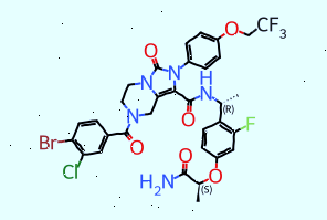 C[C@H](Oc1ccc([C@@H](C)NC(=O)c2c3n(c(=O)n2-c2ccc(OCC(F)(F)F)cc2)CCN(C(=O)c2ccc(Br)c(Cl)c2)C3)c(F)c1)C(N)=O